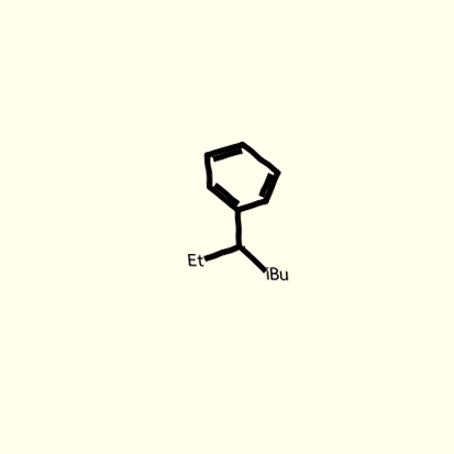 CC[C](c1ccccc1)C(C)CC